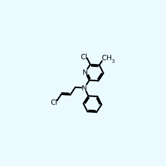 Cc1ccc(N(CC=CCl)c2ccccc2)nc1Cl